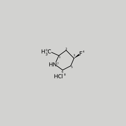 CC1C[C@@H](F)CCN1.Cl